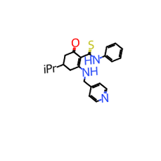 CC(C)C1CC(=O)C(C(=S)Nc2ccccc2)=C(NCc2ccncc2)C1